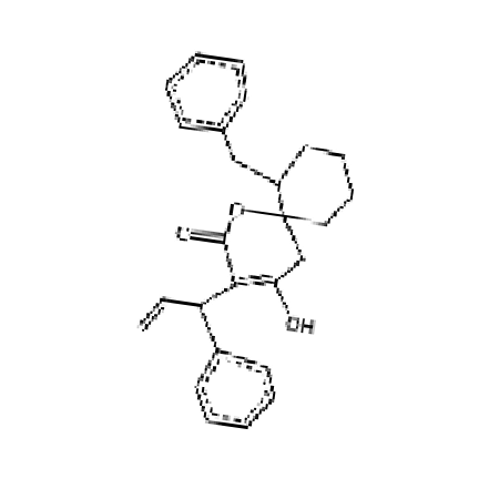 C=CC(C1=C(O)CC2(CCCCC2Cc2ccccc2)OC1=O)c1ccccc1